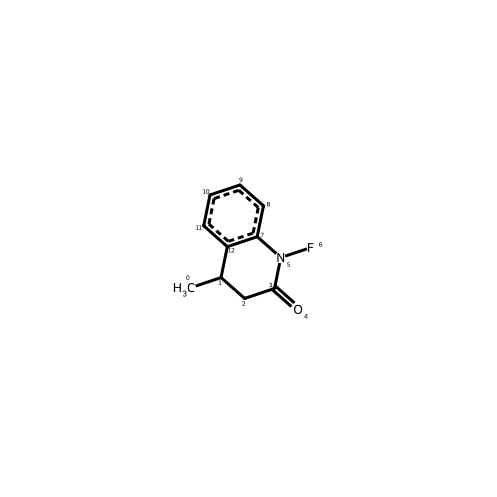 CC1CC(=O)N(F)c2ccccc21